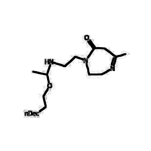 CCCCCCCCCCCCOC(C)NCCN1CCN=C(C)CC1=O